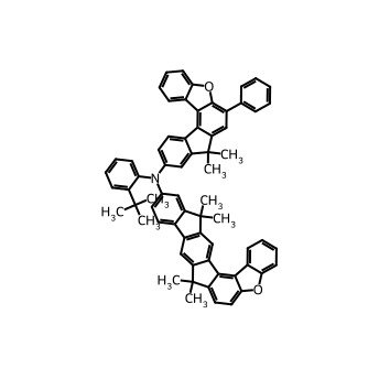 CC(C)(C)c1ccccc1N(c1ccc2c(c1)C(C)(C)c1cc3c(cc1-2)C(C)(C)c1ccc2oc4ccccc4c2c1-3)c1ccc2c(c1)C(C)(C)c1cc(-c3ccccc3)c3oc4ccccc4c3c1-2